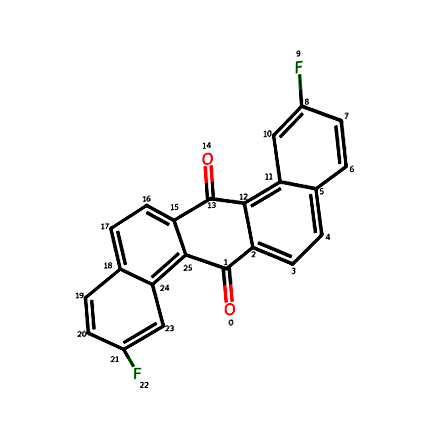 O=C1c2ccc3ccc(F)cc3c2C(=O)c2ccc3ccc(F)cc3c21